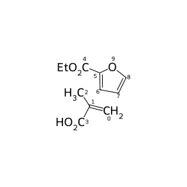 C=C(C)C(=O)O.CCOC(=O)c1ccco1